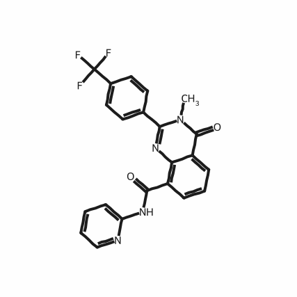 Cn1c(-c2ccc(C(F)(F)F)cc2)nc2c(C(=O)Nc3ccccn3)cccc2c1=O